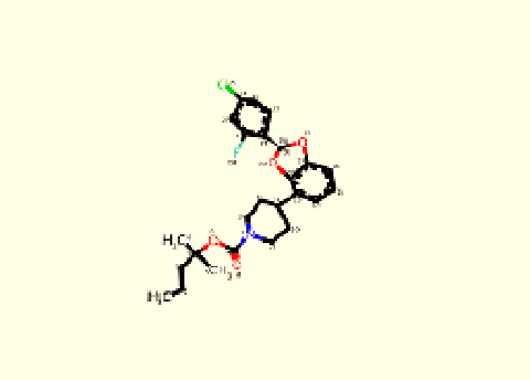 CCCC(C)(C)OC(=O)N1CCC(c2cccc3c2O[C@@H](c2ccc(Cl)cc2F)O3)CC1